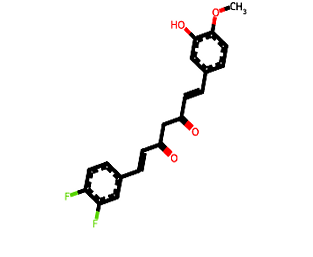 COc1ccc(/C=C/C(=O)CC(=O)/C=C/c2ccc(F)c(F)c2)cc1O